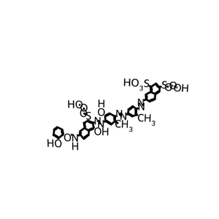 Cc1cc(N=Nc2cc(O)c(N=Nc3c(SOOO)cc4cc(NCOc5ccccc5O)ccc4c3O)cc2C)ccc1N=Nc1ccc2cc(SOOO)cc(S(=O)(=O)O)c2c1